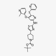 Cc1ncccc1Oc1cc(Nc2nc(C3CCN(C(=O)OC(C)(C)C)CC3)cs2)ncc1Sc1ccccn1